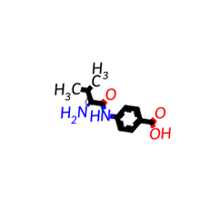 CC(C)[C@H](N)C(=O)Nc1ccc(C(=O)O)cc1